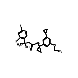 C[C@](O)(CC(=O)NC1(c2cc(OCC(F)(F)F)cc(C3CC3)c2)CC1)c1ccc(F)cc1F